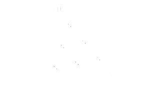 CCN(CC)c1nc(NC(C)C)nc(N(CC)CC)n1